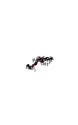 Cc1ncsc1-c1ccc([C@H](C)NC(=O)[C@@H]2C[C@@H](O)CN2C(=O)[C@@H](NC(=O)CN2CCN(c3ccc(-c4cc(-c5ccccc5F)nnc4N)cc3)CC2)C(C)(C)C)cc1